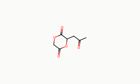 CC(=O)CC1OC(=O)COC1=O